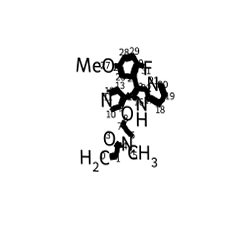 C=CC(=O)N(C)CCOc1cnccc1-c1[nH]c2cccnc2c1-c1cc(OC)ccc1F